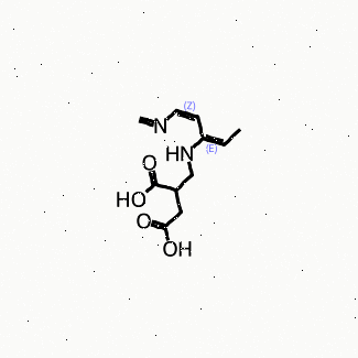 C=N/C=C\C(=C/C)NCC(CC(=O)O)C(=O)O